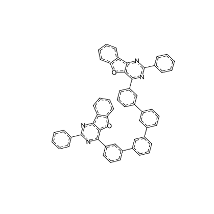 c1ccc(-c2nc(-c3cccc(-c4cccc(-c5cccc(-c6cccc(-c7nc(-c8ccccc8)nc8c7oc7ccccc78)c6)c5)c4)c3)c3oc4ccccc4c3n2)cc1